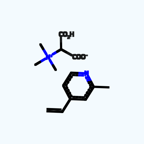 C=Cc1ccnc(C)c1.C[N+](C)(C)C(C(=O)[O-])C(=O)O